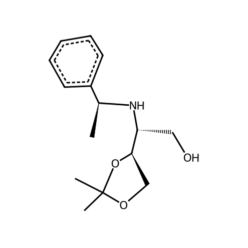 C[C@H](N[C@H](CO)[C@H]1COC(C)(C)O1)c1ccccc1